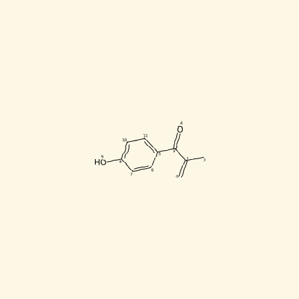 C=C(C)C(=O)c1ccc(O)cc1